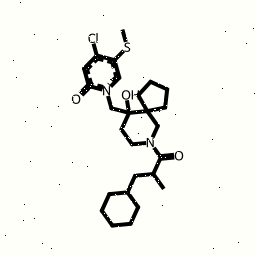 CSc1cn(CC2(O)CCN(C(=O)C(C)CC3CCCCC3)CC23CCCC3)c(=O)cc1Cl